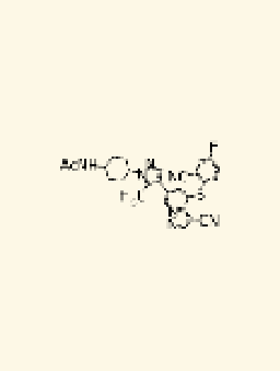 CC(=O)N[C@H]1CC[C@@H](n2ncc(-c3cc(Sc4ccc(F)cc4C#N)c4c(C#N)cnn4c3)c2C)CC1